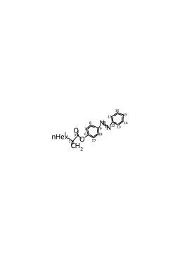 C=C(CCCCCC)C(=O)Oc1ccc(/N=N/c2ccccc2)cc1